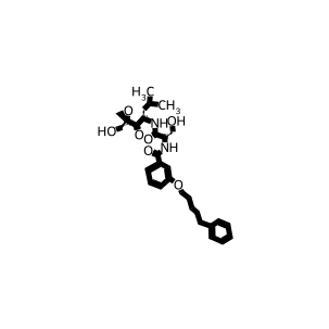 CC(C)C[C@H](NC(=O)[C@H](CO)NC(=O)c1cccc(OCCCCCc2ccccc2)c1)C(=O)[C@]1(CO)CO1